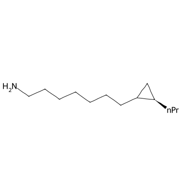 CCC[C@@H]1CC1CCCCCCCN